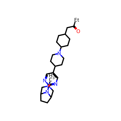 CCC(=O)CC1CCC(N2CCC(c3cnc(N4C5CCC4CN(C)C5)nc3)CC2)CC1